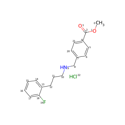 COC(=O)c1ccc(CNCCCc2ccccc2F)cc1.Cl